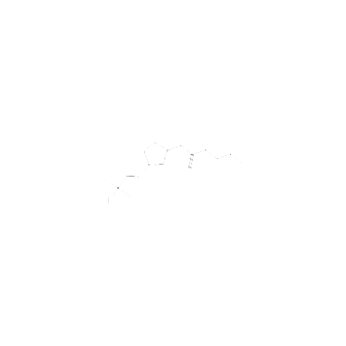 C=C(CCCC)C[C]1CCC(OCC(F)(F)F)C1